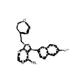 Nc1ncnc2c1c(-c1ccc3cc(O)ccc3c1)nn2CC1CCNCC1